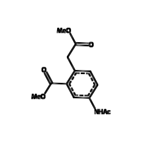 COC(=O)Cc1ccc(NC(C)=O)cc1C(=O)OC